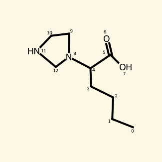 CCCCC(C(=O)O)N1CCNC1